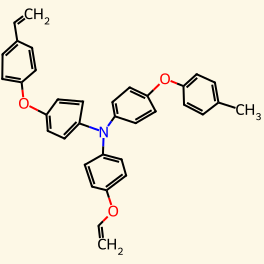 C=COc1ccc(N(c2ccc(Oc3ccc(C)cc3)cc2)c2ccc(Oc3ccc(C=C)cc3)cc2)cc1